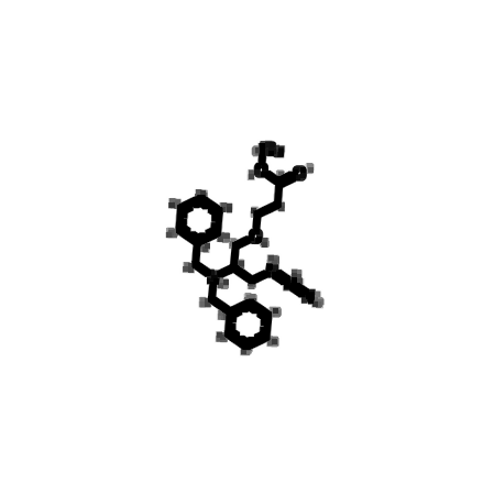 CC(C)(C)OC(=O)CCOCC(CN=[N+]=[N-])N(Cc1ccccc1)Cc1ccccc1